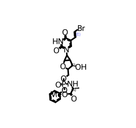 COC(=O)[C@H](C)NP(=O)(OCC1OC2C(C2n2cc(/C=C/Br)c(=O)[nH]c2=O)[C@@H]1O)Oc1ccccc1